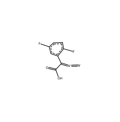 [N-]=[N+]=C(C(=O)O)c1cc(F)ccc1F